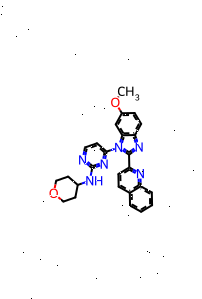 COc1ccc2nc(-c3ccc4ccccc4n3)n(-c3ccnc(NC4CCOCC4)n3)c2c1